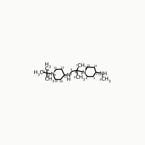 CNC1CCN(C(C)(C)CNC2CCN(C(C)(C)C)CC2)CC1